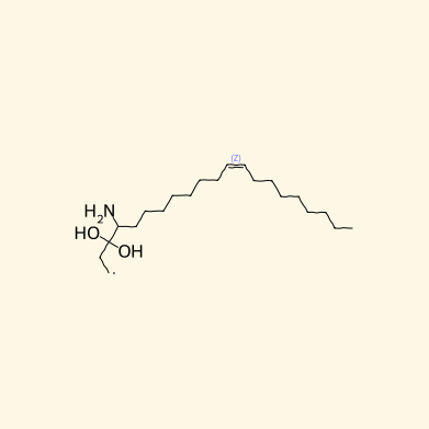 [CH2]CC(O)(O)C(N)CCCCCCC/C=C\CCCCCCCC